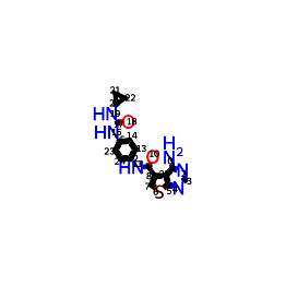 Nc1ncnc2scc(C(=O)Nc3ccc(NC(=O)NC4CC4)cc3)c12